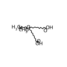 CN(C)CCCC(=O)OC(CCCCCCCCCC(=O)O)CCCCCCCCCC(=O)O